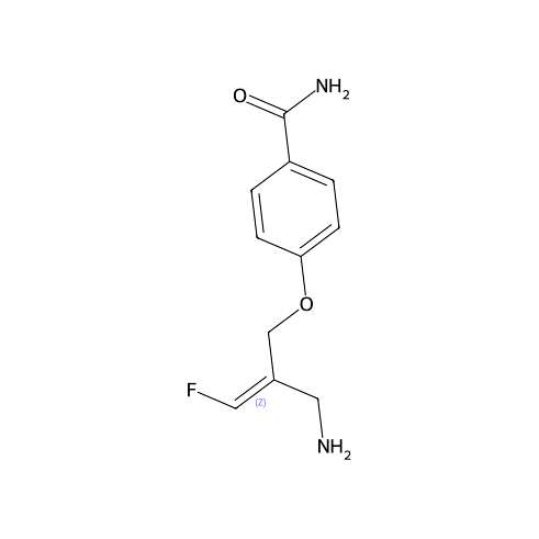 NC/C(=C/F)COc1ccc(C(N)=O)cc1